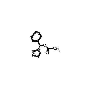 CC(=O)OC(c1ccccc1)n1ccnn1